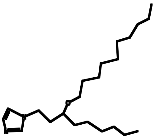 CCCCCCCCCCOC(CCCCCC)CCn1ccnc1